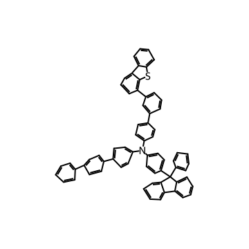 c1ccc(-c2ccc(-c3ccc(N(c4ccc(-c5cccc(-c6cccc7c6sc6ccccc67)c5)cc4)c4ccc(C5(c6ccccc6)c6ccccc6-c6ccccc65)cc4)cc3)cc2)cc1